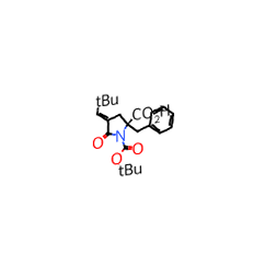 CC(C)(C)C=C1C[C@@](Cc2ccccc2)(C(=O)O)N(C(=O)OC(C)(C)C)C1=O